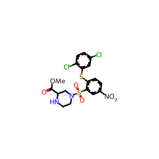 COC(=O)C1CN(S(=O)(=O)c2cc([N+](=O)[O-])ccc2Sc2cc(Cl)ccc2Cl)CCN1